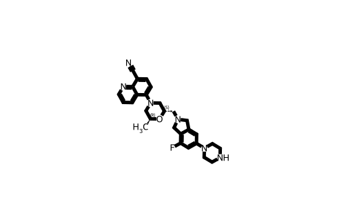 C[C@@H]1CN(c2ccc(C#N)c3ncccc23)C[C@H](CN2Cc3cc(N4CCNCC4)cc(F)c3C2)O1